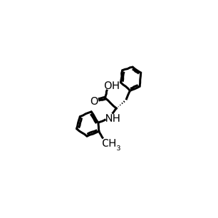 Cc1ccccc1N[C@@H](Cc1ccccc1)C(=O)O